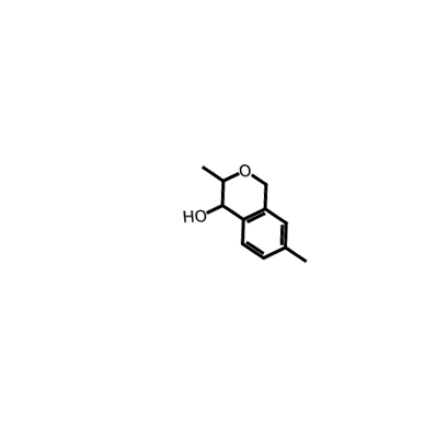 Cc1ccc2c(c1)COC(C)C2O